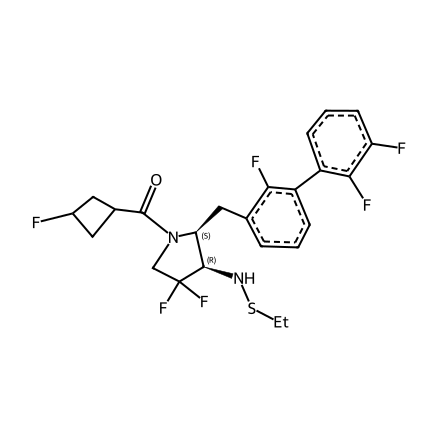 CCSN[C@@H]1[C@H](Cc2cccc(-c3cccc(F)c3F)c2F)N(C(=O)C2CC(F)C2)CC1(F)F